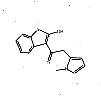 Cn1cccc1CC(=O)c1c(O)sc2ccccc12